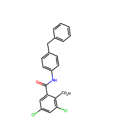 O=C(Nc1ccc(Cc2ccccc2)cc1)c1cc(Cl)cc(Cl)c1C(=O)O